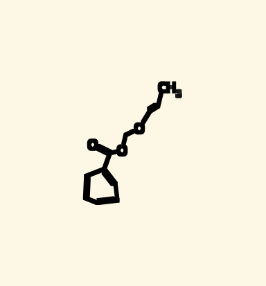 CC=COCOC(=O)c1ccccc1